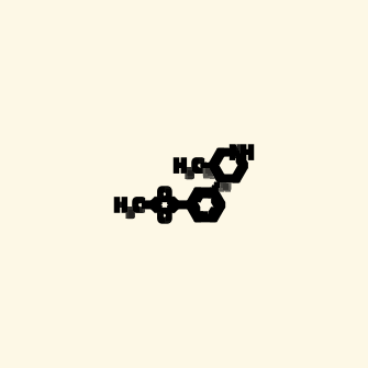 CC1OC(c2cccc([C@H]3CCNC[C@H]3C)c2)O1